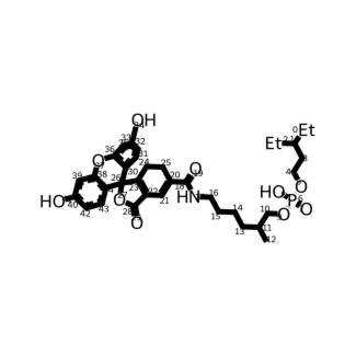 CCC(CC)CCOP(=O)(O)OCC(C)CCCCNC(=O)C1=CC2=C(CC1)C1(OC2=O)c2ccc(O)cc2Oc2cc(O)ccc21